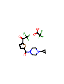 O=C(O)C(F)(F)F.O=C(c1ccc(C(=O)C(F)(F)F)s1)N1CCN(C2CC2)CC1